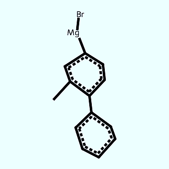 Cc1c[c]([Mg][Br])ccc1-c1ccccc1